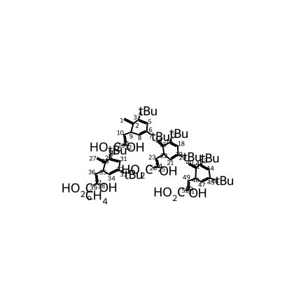 C.C=C1C(C(C)(C)C)=CC(C(C)(C)C)=CC1C=C(O)C(=O)O.C=C1C(C(C)(C)C)=CC(C(C)(C)C)=CC1C=C(O)C(=O)O.C=C1C(C(C)(C)C)=CC(C(C)(C)C)=CC1C=C(O)C(=O)O.C=C1C(C(C)(C)C)=CC(C(C)(C)C)=CC1C=C(O)C(=O)O